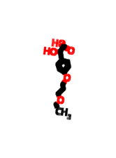 CCOCCCOc1ccc(C(O)C(=O)O)cc1